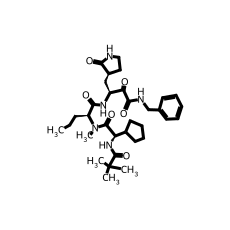 CCC[C@@H](C(=O)N[C@@H](C[C@@H]1CCNC1=O)C(=O)C(=O)NCc1ccccc1)N(C)C(=O)[C@H](NC(=O)C(C)(C)C)C1CCCC1